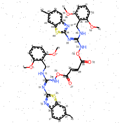 COc1cccc(OC)c1CNC(=Nc1nc2ccc(C)cc2s1)NOC(=O)/C=C/C(=O)ONC(=Nc1nc2ccc(C)cc2s1)NCc1c(OC)cccc1OC